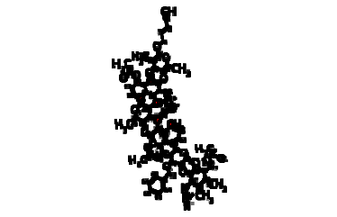 C#CCCCO[C@@H]1OC(C)[C@@H](O[C@@H]2OC(COC(C)=O)[C@@H](O[C@@H]3OC(C)[C@@H](O[C@@H]4OC(COC(C)=O)[C@@H](O[C@@H]5OC(C)[C@@H](O[C@@H]6OC(COC(C)=O)[C@@H](C)[C@H](C)C6N=[N+]=[N-])[C@@H](OCc6ccccc6)C5C)[C@H](C)C4N=[N+]=[N-])[C@@H](OCc4ccccc4)C3C)[C@H](C)C2N=[N+]=[N-])[C@@H](OCc2ccccc2)C1C